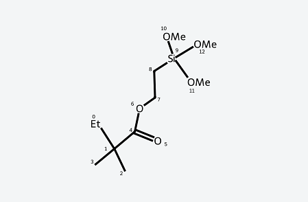 CCC(C)(C)C(=O)OCC[Si](OC)(OC)OC